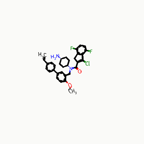 C=Cc1ccc(-c2ccc(OC)c(CN(C(=O)C3=C(Cl)c4c(F)ccc(F)c4C3)[C@H]3CC[C@@H](N)CC3)c2)cc1